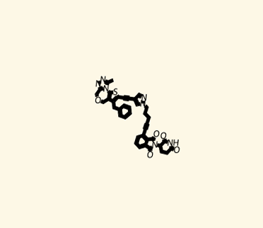 Cc1nnc2n1-c1sc(C#Cc3cnn(CCCC#Cc4cccc5c4C(=O)N(C4CCC(=O)NC4=O)C5=O)c3)c(Cc3ccccc3)c1COC2